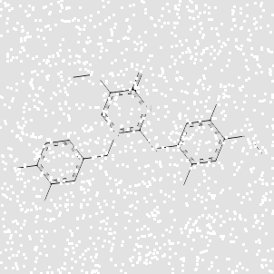 COc1cc(C)c(Nc2nc(=O)c(OC)cn2Cc2ccc(F)c(F)c2)cc1Cl